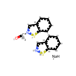 C=O.[NaH].c1ccc2sncc2c1.c1ccc2sncc2c1